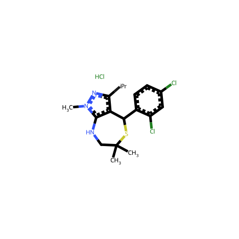 CC(C)c1nn(C)c2c1C(c1ccc(Cl)cc1Cl)SC(C)(C)CN2.Cl